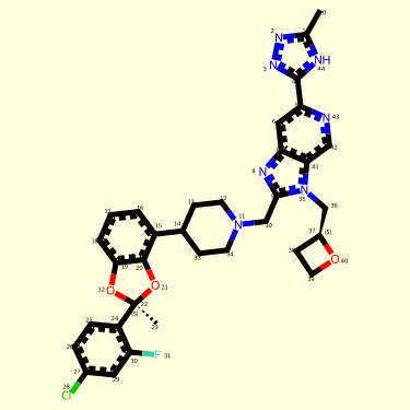 Cc1nnc(-c2cc3nc(CN4CCC(c5cccc6c5O[C@@](C)(c5ccc(Cl)cc5F)O6)CC4)n(C[C@@H]4CCO4)c3cn2)[nH]1